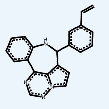 C=Cc1cccc(C2Nc3ccccc3-c3ncnn4ccc2c34)c1